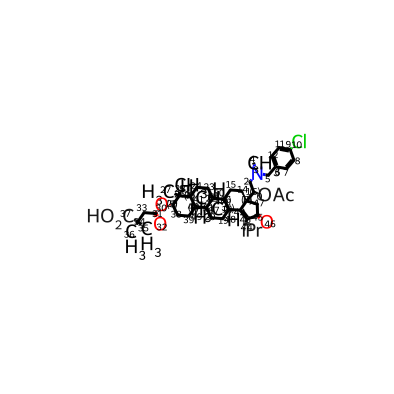 CC(=O)O[C@H](CN(C)Cc1ccc(Cl)cc1)[C@@]12CC[C@]3(C)[C@H](CC[C@H]4[C@H]3CC[C@H]3C(C)(C)[C@@H](OC(=O)CC(C)(C)C(=O)O)CC[C@]43C)C1=C(C(C)C)C(=O)C2